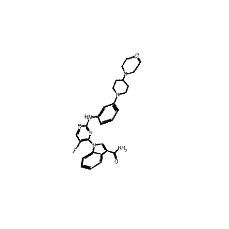 NC(=O)c1cn(-c2nc(Nc3cccc(N4CCC(N5CCOCC5)CC4)c3)ncc2F)c2ccccc12